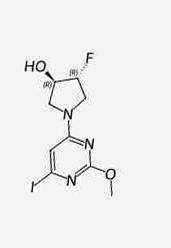 COc1nc(I)cc(N2C[C@@H](O)[C@H](F)C2)n1